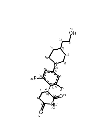 O=C1CC[C@H](c2c(F)cc(N3CCC(CCO)CC3)cc2F)C(=O)N1